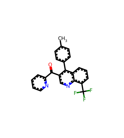 Cc1ccc(-c2c(C(=O)c3ccccn3)cnc3c(C(F)(F)F)cccc23)cc1